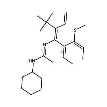 C=CC(=C(/N=C(\C)NC1CCCCC1)C(=C/C)/C(=C\C)SC)C(C)(C)C